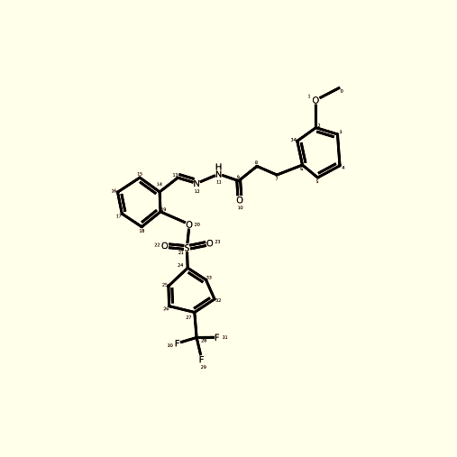 COc1cccc(CCC(=O)NN=Cc2ccccc2OS(=O)(=O)c2ccc(C(F)(F)F)cc2)c1